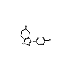 Fc1ccc(-c2n[nH]c3c2CNCC3)cc1